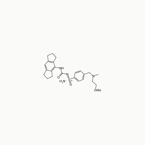 COCCN(C)Cc1ccc([S@@](N)(=O)=NC(=O)Nc2c3c(cc4c2CCC4)CCC3)cc1